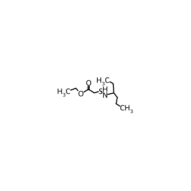 CCCC(CC)NSCC(=O)OCC